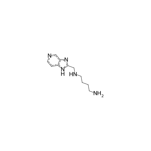 NCCCCNCc1nc2cnccc2[nH]1